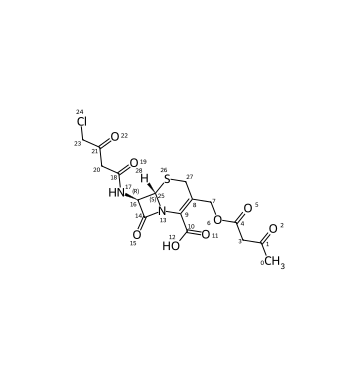 CC(=O)CC(=O)OCC1=C(C(=O)O)N2C(=O)[C@@H](NC(=O)CC(=O)CCl)[C@@H]2SC1